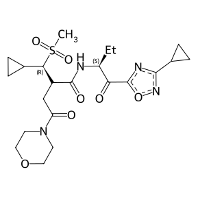 CC[C@H](NC(=O)C(CC(=O)N1CCOCC1)[C@@H](C1CC1)S(C)(=O)=O)C(=O)c1nc(C2CC2)no1